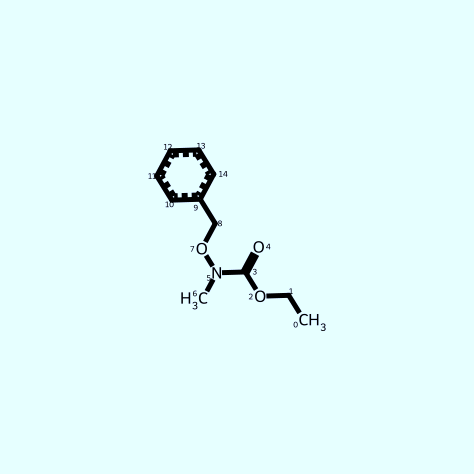 CCOC(=O)N(C)OCc1ccccc1